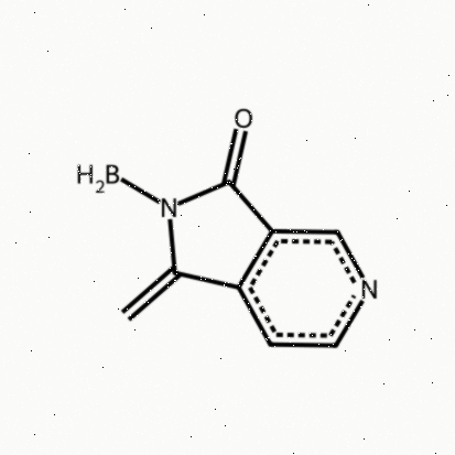 BN1C(=C)c2ccncc2C1=O